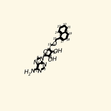 Nc1ncnc2c1ncn2[C@@H]1O[C@H](COCc2cccc3ccccc23)[C@@H](O)[C@H]1O